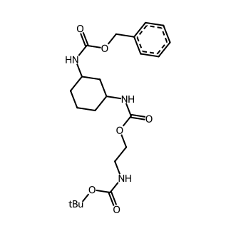 CC(C)(C)OC(=O)NCCOC(=O)NC1CCCC(NC(=O)OCc2ccccc2)C1